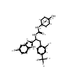 O=C(NC(Cc1ccc(C(F)(F)F)cc1F)c1nc2cc(F)ccc2[nH]1)NC12CCC(O)(CC1)CC2